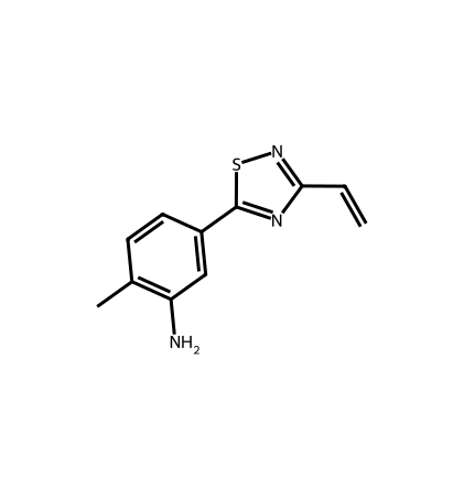 C=Cc1nsc(-c2ccc(C)c(N)c2)n1